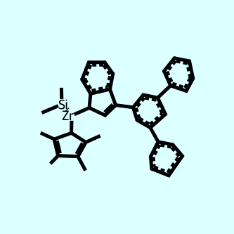 CC1=C(C)[CH]([Zr]([CH]2C=C(c3cc(-c4ccccc4)cc(-c4ccccc4)c3)c3ccccc32)=[Si](C)C)C(C)=C1C